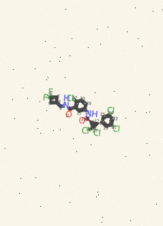 O=C(NCC1CC(F)(F)C1)c1cc(NC(=O)[C@H]2[C@H](c3cc(Cl)cc(Cl)c3)C2(Cl)Cl)ccc1Cl